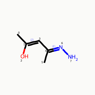 C/C(O)=C/C(C)=N/N